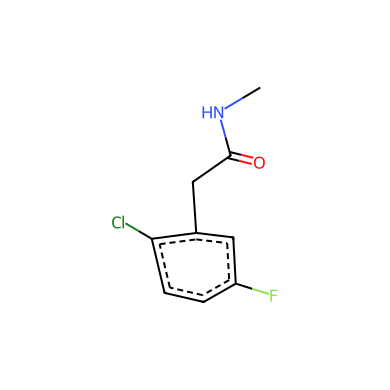 CNC(=O)Cc1cc(F)ccc1Cl